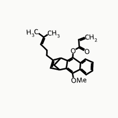 C=CC(=O)Oc1c2c(c(OC)c3ccccc13)C1C=C(CCC=C(C)C)C2C1